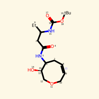 CCC(CC(=O)NC1C/C=C\COC[C@H]1O)NC(=O)OC(C)(C)C